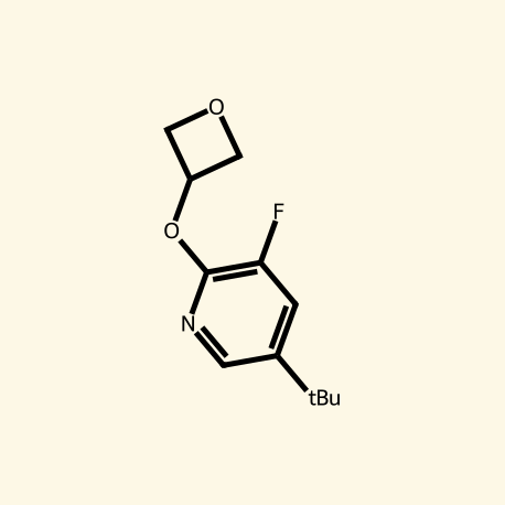 CC(C)(C)c1cnc(OC2COC2)c(F)c1